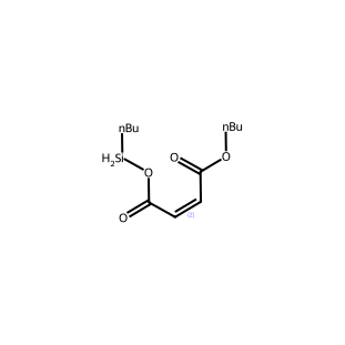 CCCCOC(=O)/C=C\C(=O)O[SiH2]CCCC